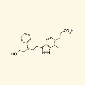 Cc1c(CCC(=O)O)ccc2c1nnn2CCN(CCO)c1ccccc1